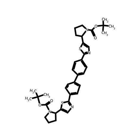 CC(C)(C)OC(=O)N1CCCC1c1cnc(-c2ccc(-c3ccc(-c4ncc(C5CCCN5C(=O)OC(C)(C)C)s4)cc3)cc2)s1